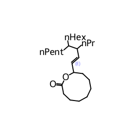 CCCCCCC(CCCCC)C(/C=C/C1CCCCCCCC(=O)O1)CCC